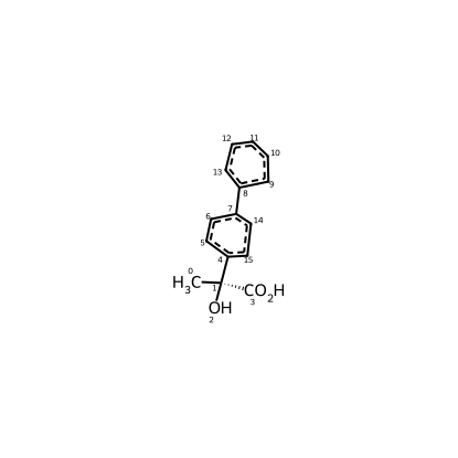 C[C@@](O)(C(=O)O)c1ccc(-c2ccccc2)cc1